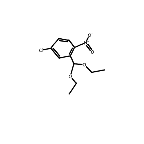 CCOC(OCC)c1cc(Cl)ccc1[N+](=O)[O-]